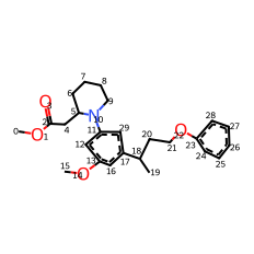 COC(=O)CC1CCCCN1c1cc(OC)cc(C(C)CCOc2ccccc2)c1